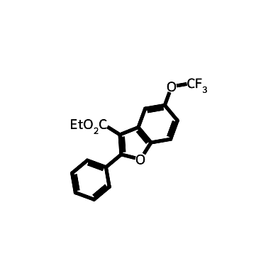 CCOC(=O)c1c(-c2ccccc2)oc2ccc(OC(F)(F)F)cc12